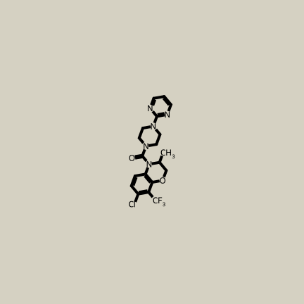 CC1COc2c(ccc(Cl)c2C(F)(F)F)N1C(=O)N1CCN(c2ncccn2)CC1